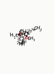 [2H]C([2H])([2H])C1=CC(c2c(OC)cc(CCCCC)cc2OC)C(C(=C)C)CC1